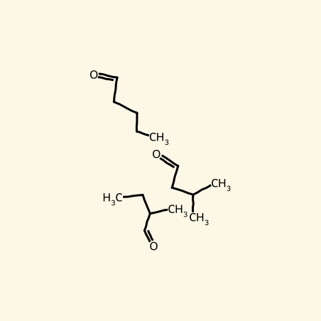 CC(C)CC=O.CCC(C)C=O.CCCCC=O